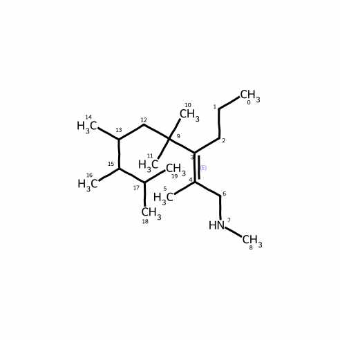 CCC/C(=C(/C)CNC)C(C)(C)CC(C)C(C)C(C)C